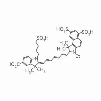 CCN1c2ccc3c(S(=O)(=O)O)cc(S(=O)(=O)O)cc3c2C(C)(C)C1C=CC=CC=CC=C1N(CCCCS(=O)(=O)O)c2ccc(C(=O)O)cc2C1(C)C